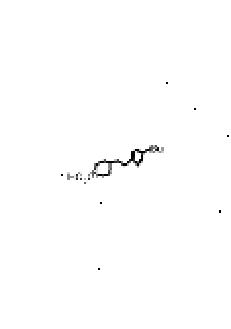 CCC(C)c1ccc(CCC2CCN(C(=O)O)CC2)cc1